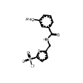 COc1cccc(C(=O)NCc2ccc(S(=O)(=O)Cl)s2)c1